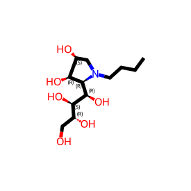 CCCCN1C[C@H](O)[C@H](O)[C@@H]1[C@@H](O)[C@H](O)[C@H](O)CO